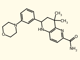 CC1(C)CC(c2cccc(N3CCOCC3)c2)Nc2ccc(C(N)=O)nc21